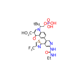 CCNC(=O)Nc1cc(-c2nc(C(F)(F)F)cs2)c(-c2ccc3c(c2)c(=O)c(C(=O)O)cn3C(COP(=O)(O)O)C(C)(C)C)cn1